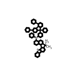 CC1(C)c2ccc3c(N(c4ccccc4)c4cccc(C5(c6ccccc6)c6ccc(-c7ccccc7)cc6-c6c(-c7ccccc7)cccc65)c4)cccc3c2-c2c1ccc1c2sc2ccccc21